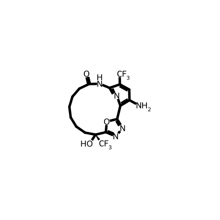 Nc1cc(C(F)(F)F)c2nc1-c1nnc(o1)[C@@](O)(C(F)(F)F)CCCCCCC(=O)N2